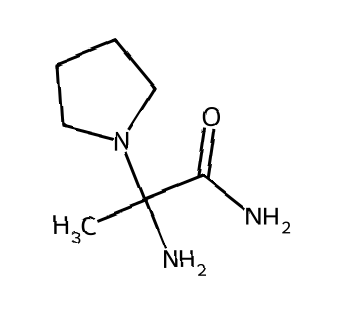 CC(N)(C(N)=O)N1CCCC1